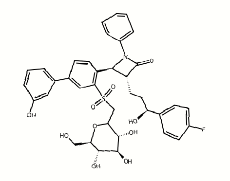 O=C1[C@H](CC[C@H](O)c2ccc(F)cc2)[C@@H](c2ccc(-c3cccc(O)c3)cc2S(=O)(=O)CC2O[C@H](CO)[C@@H](O)[C@H](O)[C@H]2O)N1c1ccccc1